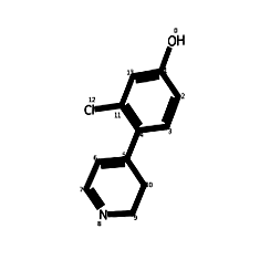 Oc1ccc(C2=CC=NCC2)c(Cl)c1